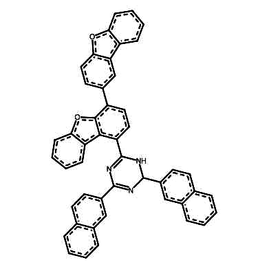 c1ccc2cc(C3=NC(c4ccc5ccccc5c4)NC(c4ccc(-c5ccc6oc7ccccc7c6c5)c5oc6ccccc6c45)=N3)ccc2c1